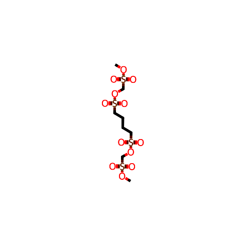 COS(=O)(=O)COS(=O)(=O)CCCCS(=O)(=O)OCS(=O)(=O)OC